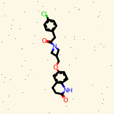 O=C1CCc2cc(OCC3CN(C(=O)Cc4ccc(Cl)cc4)C3)ccc2N1